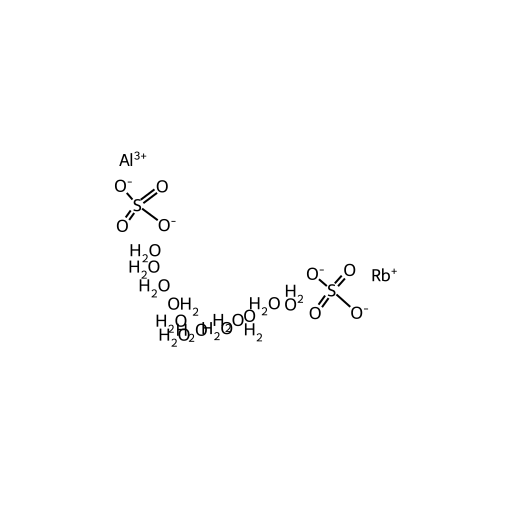 O.O.O.O.O.O.O.O.O.O.O.O.O=S(=O)([O-])[O-].O=S(=O)([O-])[O-].[Al+3].[Rb+]